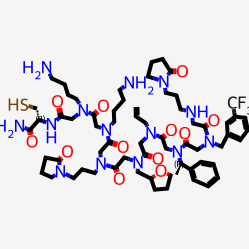 C=CCN(CC(=O)N(CC(=O)N(CCCN1CCCC1=O)CC(=O)N(CCCCN)CC(=O)N(CCCCN)CC(=O)N[C@@H](CS)C(N)=O)CC1CCCO1)C(=O)CN(C(=O)CN(Cc1cccc(C(F)(F)F)c1)C(=O)CNCCCN1CCCC1=O)[C@H](C)c1ccccc1